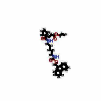 C=CCOC(=O)CCC1(C(=O)NCCCCCNC(=O)OCC2c3ccccc3-c3ccccc32)CCCC1